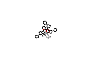 CC1(C)c2cc(-c3ccccc3)ccc2-c2ccc(N(c3cccc(-c4ccccc4)c3)c3cccc(-c4ccccc4)c3-c3ccccc3-c3ccccc3)cc21